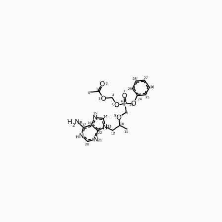 CC(=O)OCOP(=O)(COC(C)Cn1cnc2c(N)ncnc21)Oc1ccccc1